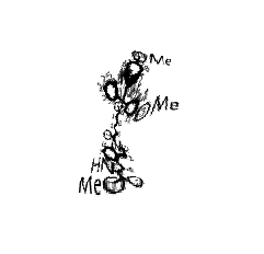 COC(=O)C1Cc2c(ccc3c2ccn3C(=O)CCCCCOC(c2ccccc2)(c2ccc(OC)cc2)c2ccc(OC)cc2)N1